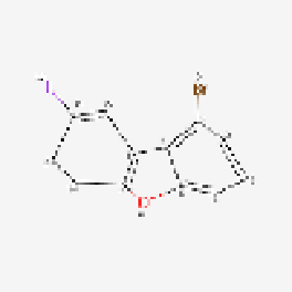 Brc1cccc2oc3c(c12)C=C(I)CC3